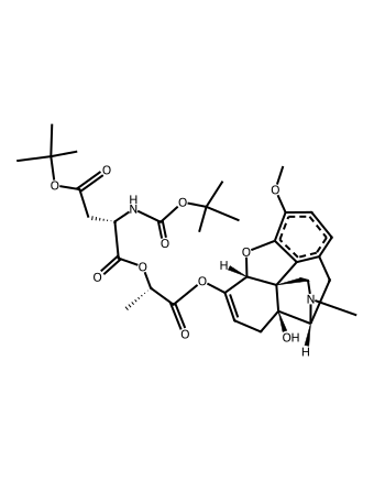 COc1ccc2c3c1O[C@H]1C(OC(=O)[C@H](C)OC(=O)[C@H](CC(=O)OC(C)(C)C)NC(=O)OC(C)(C)C)=CC[C@@]4(O)[C@@H](C2)N(C)CC[C@]314